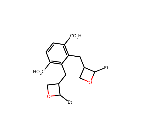 CCC1OCC1Cc1c(C(=O)O)ccc(C(=O)O)c1CC1COC1CC